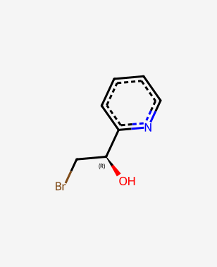 O[C@@H](CBr)c1ccccn1